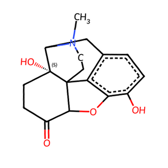 CN1CCC23c4c5ccc(O)c4OC2C(=O)CC[C@@]3(O)C1C5